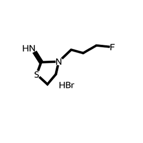 Br.N=C1SCCN1CCCF